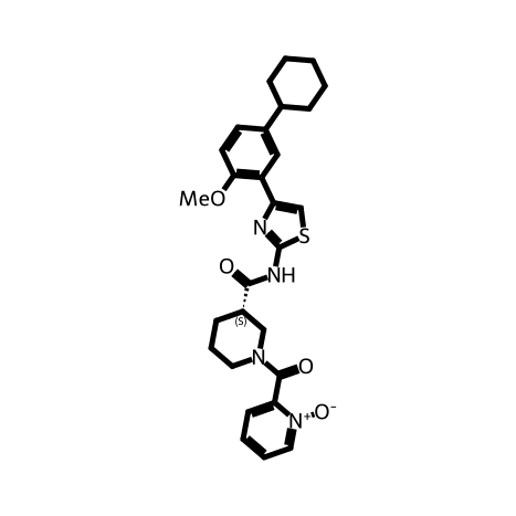 COc1ccc(C2CCCCC2)cc1-c1csc(NC(=O)[C@H]2CCCN(C(=O)c3cccc[n+]3[O-])C2)n1